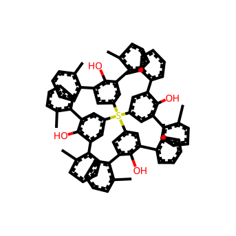 Cc1ccccc1-c1cc(S(c2cc(-c3ccccc3C)c(O)c(-c3ccccc3C)c2)(c2cc(-c3ccccc3C)c(O)c(-c3ccccc3C)c2)c2cc(-c3ccccc3C)c(O)c(-c3ccccc3C)c2)cc(-c2ccccc2C)c1O